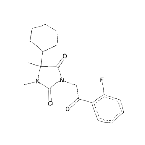 CN1C(=O)N(CC(=O)c2ccccc2F)C(=O)C1(C)C1CCCCC1